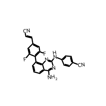 N#C/C=C/c1cc(F)c(-c2cccc3c(N)nc(Nc4ccc(C#N)cc4)nc23)c(F)c1